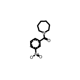 O=C(c1cc[c]c([N+](=O)[O-])c1)N1CCCCCC1